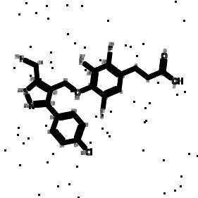 O=C(O)CCc1cc(F)c(OCc2c(-c3ccc(Cl)cc3)nsc2CF)c(F)c1F